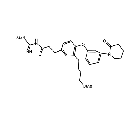 CNC(=N)NC(=O)CCc1ccc(Oc2cccc(N3CCCCC3=O)c2)c(CCCCOC)c1